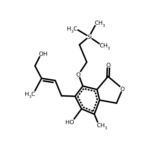 C/C(=C\Cc1c(O)c(C)c2c(c1OCC[Si](C)(C)C)C(=O)OC2)CO